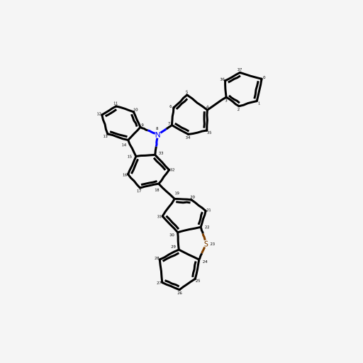 c1ccc(-c2ccc(-n3c4ccccc4c4ccc(-c5ccc6sc7ccccc7c6c5)cc43)cc2)cc1